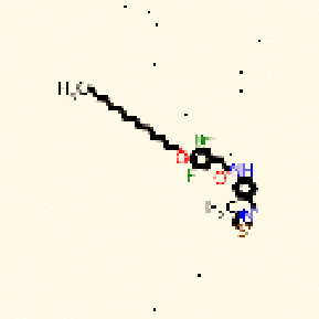 CCCCCCCCCCCCCCOc1ccc(CC(=O)Nc2ccc(C[n+]3cscc3C)cc2)cc1F.[Br-]